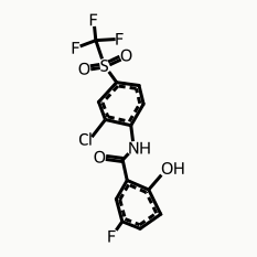 O=C(Nc1ccc(S(=O)(=O)C(F)(F)F)cc1Cl)c1cc(F)ccc1O